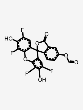 O=COc1ccc2c(c1)C(=O)OC21c2cc(F)c(O)c(F)c2Oc2c1cc(F)c(O)c2F